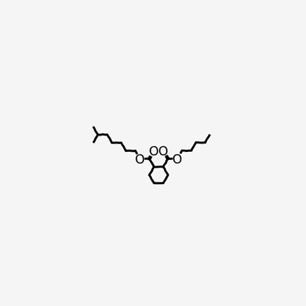 CCCCCOC(=O)C1CCCCC1C(=O)OCCCCCC(C)C